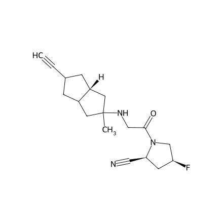 C#CC1CC2CC(C)(NCC(=O)N3C[C@@H](F)C[C@H]3C#N)C[C@H]2C1